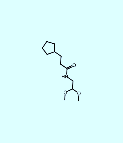 COC(CNC(=O)CCC1CCCC1)OC